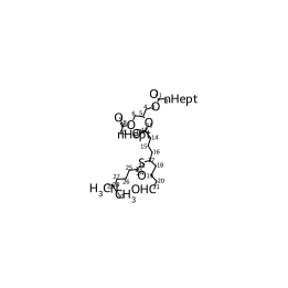 CCCCCCCC(=O)OCC(COC(=O)CCCCCCC)OC(=O)CCCC(CCCC=O)SC(=O)CCCN(C)C